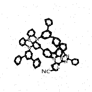 N#Cc1ccc(-c2nc(-c3ccccc3)nc(-c3ccccc3)n2)c(-n2c3ccccc3c3cc(-c4cc5c6c(c4)N(c4cc(-c7ccccc7)cc(-c7ccccc7)c4)c4ccccc4B6c4ccccc4N5c4cc(-c5ccccc5)cc(-c5ccccc5)c4)ccc32)c1